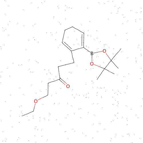 CCOCCC(=O)CCC1=CCCC=C1B1OC(C)(C)C(C)(C)O1